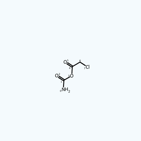 NC(=O)OC(=O)CCl